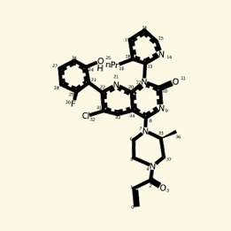 C=CC(=O)N1CCN(c2nc(=O)n(-c3ncccc3CCC)c3nc(-c4c(O)cccc4F)c(Cl)cc23)[C@@H](C)C1